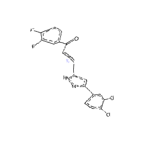 O=C(/C=C/c1cc(-c2ccc(Cl)c(Cl)c2)n[nH]1)c1ccc(F)c(F)c1